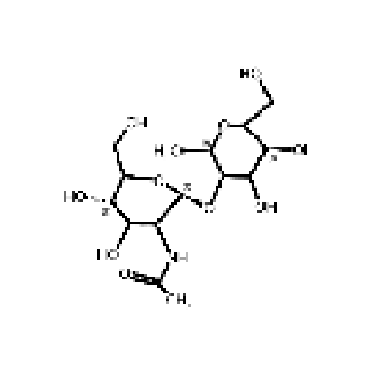 CC(=O)NC1C(O)[C@H](O)C(CO)O[C@H]1OC1C(O)[C@H](O)C(CO)O[C@@H]1C